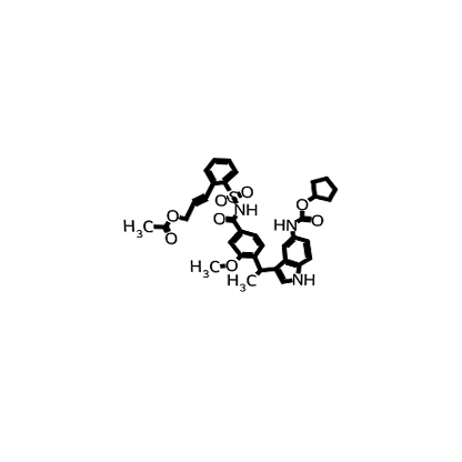 COc1cc(C(=O)NS(=O)(=O)c2ccccc2C#CCOC(C)=O)ccc1C(C)c1c[nH]c2ccc(NC(=O)OC3CCCC3)cc12